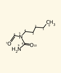 CCCCCN(C=O)C(N)=O